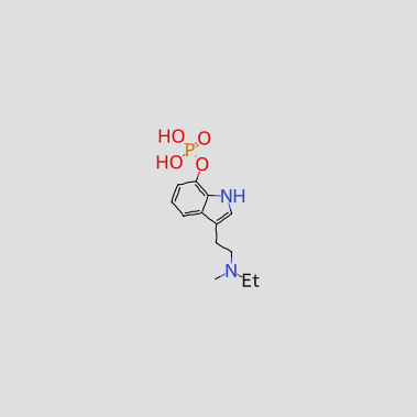 CCN(C)CCc1c[nH]c2c(OP(=O)(O)O)cccc12